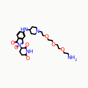 NCCOCCOCCOCCN1CCC(Nc2ccc3c(c2)C[N+]([O-])(C2CCC(=O)NC2=O)C3=O)CC1